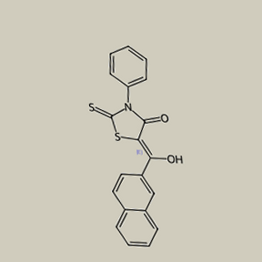 O=C1/C(=C(\O)c2ccc3ccccc3c2)SC(=S)N1c1ccccc1